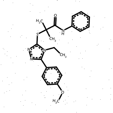 CCn1c(SC(C)(C)C(=O)Nc2ccccc2)nnc1-c1ccc(OC)cc1